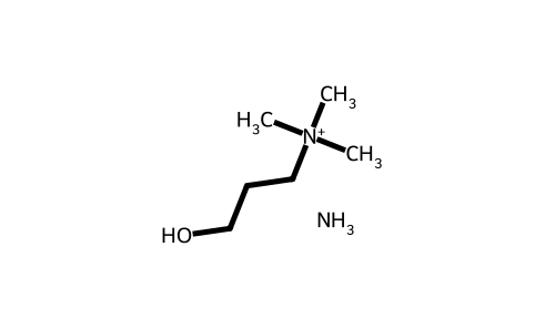 C[N+](C)(C)CCCO.N